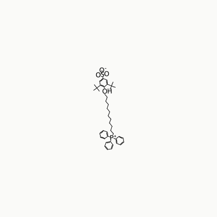 CC(C)(C)c1cc(S(=O)(=O)[O-])cc(C(C)(C)C)c1O.CCCCCCCCCCCC[P+](c1ccccc1)(c1ccccc1)c1ccccc1